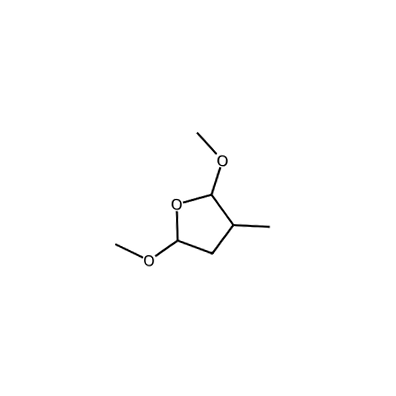 COC1CC(C)C(OC)O1